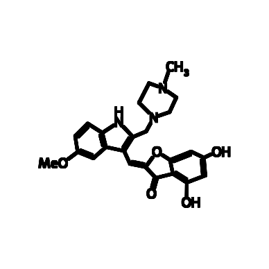 COc1ccc2[nH]c(CN3CCN(C)CC3)c(/C=C3\Oc4cc(O)cc(O)c4C3=O)c2c1